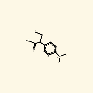 CCC(C(=O)O)c1ccc(N(C)C)cc1